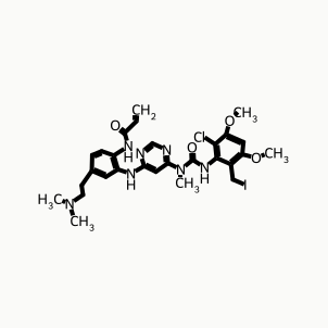 C=CC(=O)Nc1ccc(CCN(C)C)cc1Nc1cc(N(C)C(=O)Nc2c(Cl)c(OC)cc(OC)c2CI)ncn1